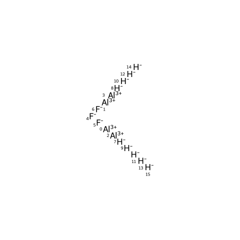 [Al+3].[Al+3].[Al+3].[Al+3].[F-].[F-].[F-].[H-].[H-].[H-].[H-].[H-].[H-].[H-].[H-].[H-]